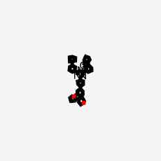 c1ccc(-c2cccc(-c3nc(-c4ccc(-c5ccc6c(c5)-c5ccccc5C65CCCCC5)cc4)nc(-c4cccc5c4oc4ccccc45)n3)c2)cc1